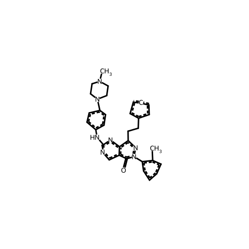 Cc1ccccc1-n1nc(CCc2ccccc2)c2nc(Nc3ccc(N4CCN(C)CC4)cc3)ncc2c1=O